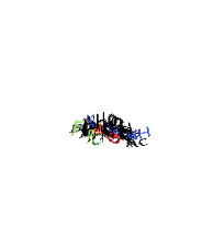 CC(=O)[C@H]1C=C(n2c(C)cc(OCc3ncc(F)cc3F)c(Cl)c2=O)C(C)=CN1